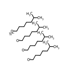 CC(C)CCCCC[O-].CC(C)CCCCC[O-].CC(C)CCCCC[O-].CC(C)CCCCC[O-].[Ti+4]